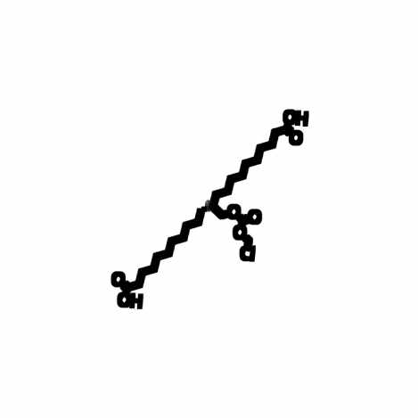 O=C(O)CCCCCCCCCC[C@H](CCCCCCCCCC(=O)O)COC(=O)OCCl